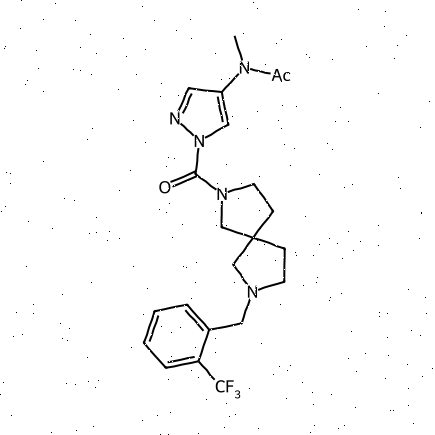 CC(=O)N(C)c1cnn(C(=O)N2CCC3(CCN(Cc4ccccc4C(F)(F)F)C3)C2)c1